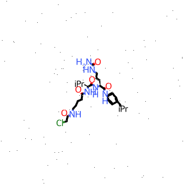 CC(C)Cc1ccc(NC(=O)[C@H](CCCNC(N)=O)NC(=O)[C@@H](NC(=O)CCCCNC(=O)CCl)C(C)C)cc1